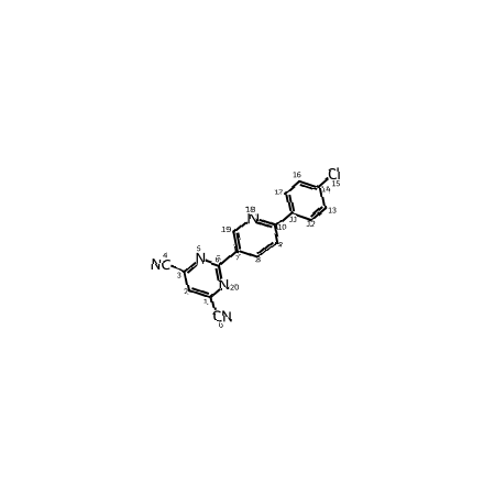 N#Cc1cc(C#N)nc(-c2ccc(-c3ccc(Cl)cc3)nc2)n1